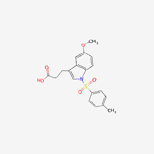 COc1ccc2c(c1)c(CCC(=O)O)cn2S(=O)(=O)c1ccc(C)cc1